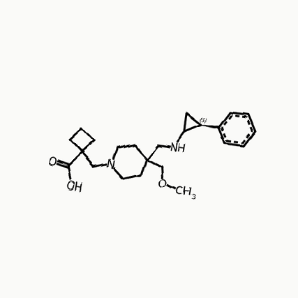 COCC1(CNC2C[C@H]2c2ccccc2)CCN(CC2(C(=O)O)CCC2)CC1